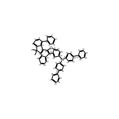 CC1(C)c2cccc(-c3ccccc3)c2-c2c1c1ccccc1c1c2oc2ccc(N(c3ccc(-c4ccccc4)cc3)c3ccc(-c4ccccc4)cc3)cc21